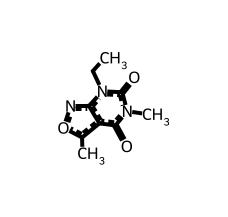 CCn1c(=O)n(C)c(=O)c2c(C)onc21